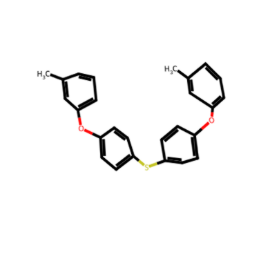 Cc1cccc(Oc2ccc(Sc3ccc(Oc4cccc(C)c4)cc3)cc2)c1